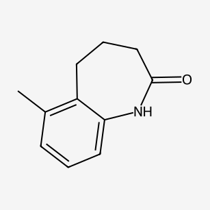 Cc1cccc2c1CCCC(=O)N2